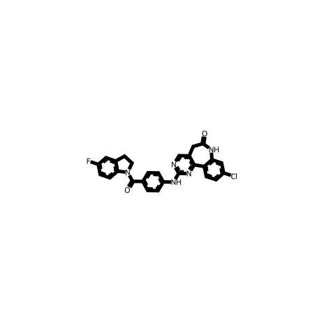 O=C1Cc2cnc(Nc3ccc(C(=O)N4CCc5cc(F)ccc54)cc3)nc2-c2ccc(Cl)cc2N1